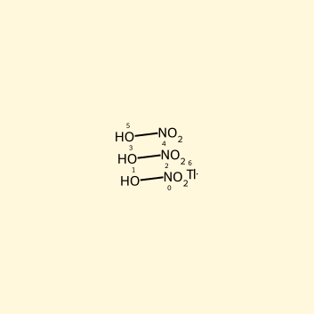 O=[N+]([O-])O.O=[N+]([O-])O.O=[N+]([O-])O.[Tl]